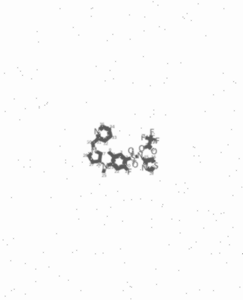 Cc1cc(S(=O)(=O)N(OC(=O)C(F)(F)F)c2cscn2)c(F)cc1N(C)[C@H]1CCN(Cc2ccccn2)C1